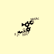 C=C1CC(C2CC2)=CC(c2cc(NC(=O)NCCC(C)(C)C(F)(F)F)c(F)cc2C)=CC1c1ccnc(NC(C)=O)c1